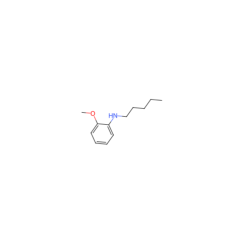 CCCCCNc1ccccc1OC